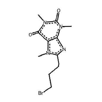 Cn1c(=O)c2c(nc(CCCBr)n2C)n(C)c1=O